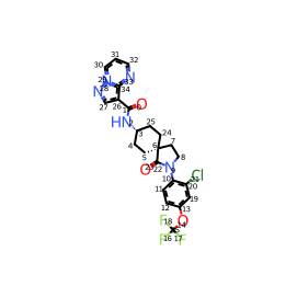 O=C(N[C@H]1CC[C@@]2(CCN(c3ccc(OC(F)(F)F)cc3Cl)C2=O)CC1)c1cnn2cccnc12